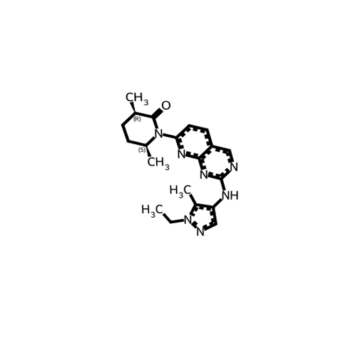 CCn1ncc(Nc2ncc3ccc(N4C(=O)[C@H](C)CC[C@@H]4C)nc3n2)c1C